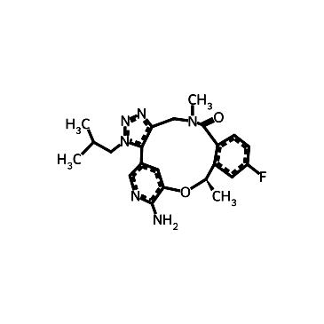 CC(C)Cn1nnc2c1-c1cnc(N)c(c1)O[C@H](C)c1cc(F)ccc1C(=O)N(C)C2